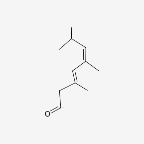 CC(=CC(C)C)C=C(C)C[C]=O